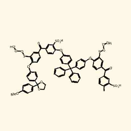 COc1ccc(C2(c3ccc(Oc4ccc(C(=O)c5ccc(Oc6ccc(C(c7ccccc7)(c7ccccc7)c7ccc(Oc8ccc(C(=O)c9ccc(C)c(S(=O)(=O)O)c9)cc8SOOO)cc7)cc6)c(S(=O)(=O)O)c5)cc4SOOO)cc3)OCCO2)cc1